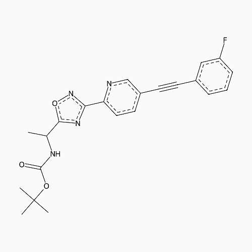 CC(NC(=O)OC(C)(C)C)c1nc(-c2ccc(C#Cc3cccc(F)c3)cn2)no1